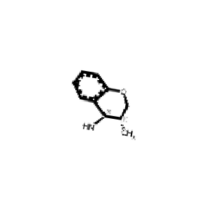 C[C@H]1COc2ccccc2[C@@H]1[NH]